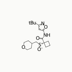 CC(C)(C)c1cc(NC(=O)C2([S+]([O-])CC3CCOCC3)CCC2)on1